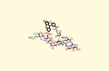 CC(=O)N[C@H](CCC(=O)O)C(=O)NCC(=O)N[C@@H](C(=O)N[C@H](C)C(=O)N[C@H](C)C(=O)N[C@H](C)C(=O)N[C@H](CSC1CC(=O)N(CCNC(=O)c2ccc(C(=O)O)c(-c3c4ccc(=O)cc-4oc4cc(O)ccc34)c2)C1=O)C(=O)N[C@H](C)C(=O)N[C@H](C)C(=O)N[C@H](C)C(=O)N[C@@H](C(=O)NCC(=O)N[C@H](CCC(=O)O)C(N)=O)[C@H](C)O)[C@H](C)O